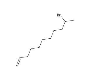 C=CCCCCCCCC(C)Br